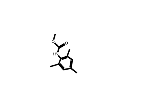 [CH2]OC(=O)Nc1c(C)cc(C)cc1C